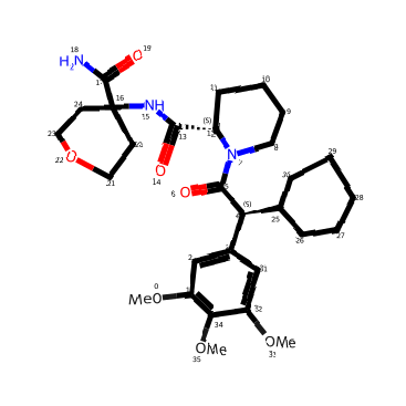 COc1cc([C@@H](C(=O)N2CCCC[C@H]2C(=O)NC2(C(N)=O)CCOCC2)C2CCCCC2)cc(OC)c1OC